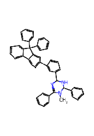 CN1C(c2ccccc2)=NC(c2cccc(-c3ccc4c(c3)C(c3ccccc3)(c3ccccc3)c3ccccc3-4)c2)NC1c1ccccc1